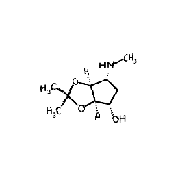 CN[C@@H]1C[C@H](O)[C@H]2OC(C)(C)O[C@H]21